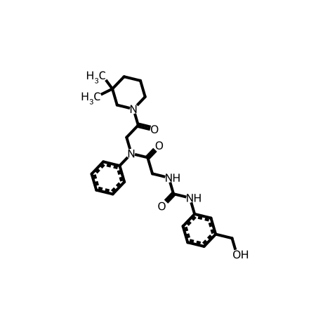 CC1(C)CCCN(C(=O)CN(C(=O)CNC(=O)Nc2cccc(CO)c2)c2ccccc2)C1